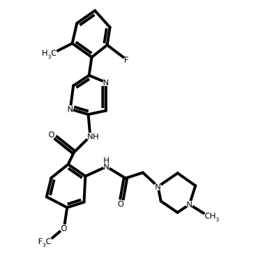 Cc1cccc(F)c1-c1cnc(NC(=O)c2ccc(OC(F)(F)F)cc2NC(=O)CN2CCN(C)CC2)cn1